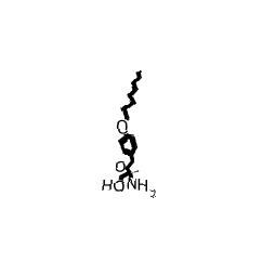 CCCCCCCCOc1ccc(CC(=O)[C@@](C)(N)CO)cc1